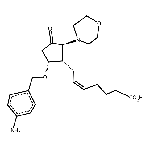 Nc1ccc(CO[C@@H]2CC(=O)[C@@H](N3CCOCC3)[C@@H]2C/C=C\CCCC(=O)O)cc1